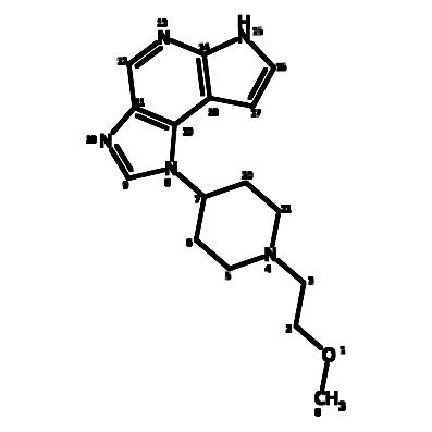 COCCN1CCC(n2cnc3cnc4[nH]ccc4c32)CC1